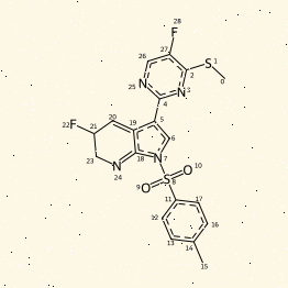 CSc1nc(-c2cn(S(=O)(=O)c3ccc(C)cc3)c3c2=CC(F)CN=3)ncc1F